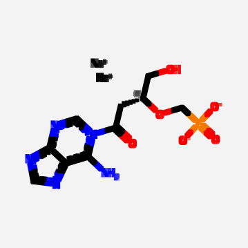 Nc1c2ncnc-2ncn1C(=O)C[C@H](CO)OCP(=O)([O-])[O-].[Na+].[Na+]